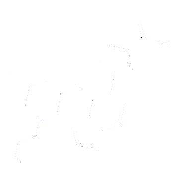 CNC(=O)c1coc(-c2cnc3[nH]ccc3c2NC2CC(C)CN(C(=O)CC#N)C2)n1